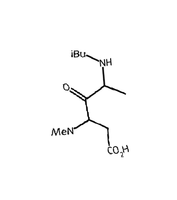 CCC(C)NC(C)C(=O)C(CC(=O)O)NC